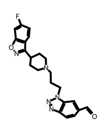 O=Cc1ccc2nnn(CCCN3CCC(c4noc5cc(F)ccc45)CC3)c2c1